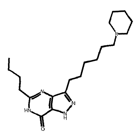 CCCCc1nc2c(CCCCCCN3CCCCC3)n[nH]c2c(=O)[nH]1